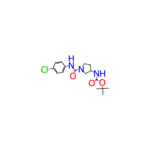 CC(C)(C)OC(=O)NC1CCN(C(=O)Nc2ccc(Cl)cc2)C1